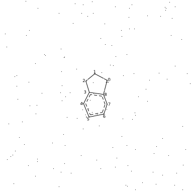 [C]1CCc2c[c]ccc21